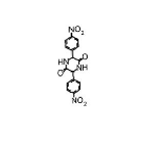 O=C1NC(c2ccc([N+](=O)[O-])cc2)C(=O)NC1c1ccc([N+](=O)[O-])cc1